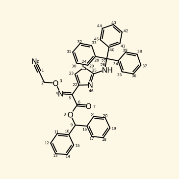 N#CCON=C(C(=O)OC(c1ccccc1)c1ccccc1)c1csc(NC(c2ccccc2)(c2ccccc2)c2ccccc2)n1